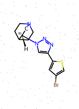 Brc1csc(-c2cn([C@H]3CN4CCC3CC4)nn2)c1